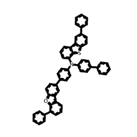 c1ccc(-c2ccc(N(c3ccc(-c4ccc5oc6c(-c7ccccc7)cccc6c5c4)cc3)c3cccc4c3sc3ccc(-c5ccccc5)cc34)cc2)cc1